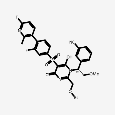 CCOCc1nc(=O)c(S(=O)(=O)c2ccc(-c3ccc(F)nc3C)c(F)c2)c(O)n1[C@@H](COC)c1cccc(C#N)c1